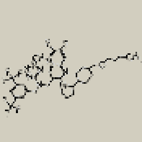 CCCCOCC1CCC(C2CCCN2c2nc3cc(F)c(F)cc3cc2CN(Cc2cc(C(F)(F)F)cc(C(F)(F)F)c2)c2nnn(C)n2)CC1